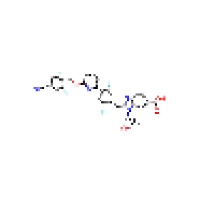 CC1(C)COC[C@H]1n1c(Cc2cc(F)c(-c3cccc(OCc4c(F)cc(C#N)cc4F)n3)cc2F)nc2ccc(C(=O)O)cc21